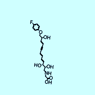 O=C(O)CNC[C@H](O)[C@H](O)/C=C/C=C/C#C/C=C/[C@H](O)COc1ccc(F)cc1